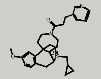 COc1ccc2c(c1)C13CCN(C(=O)CCc4cccnc4)CCC1(O)C(C2)N(CC1CC1)CC3